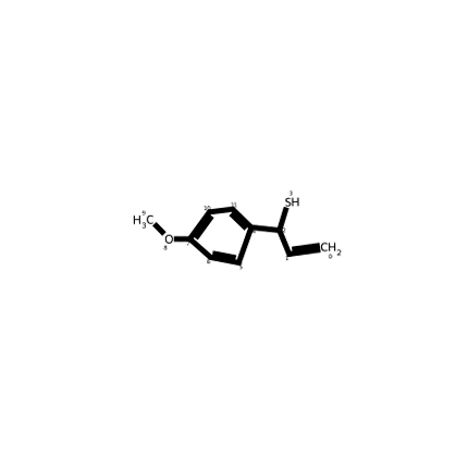 C=CC(S)c1ccc(OC)cc1